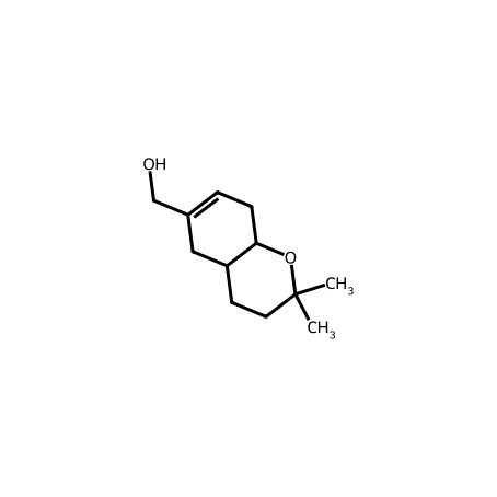 CC1(C)CCC2CC(CO)=CCC2O1